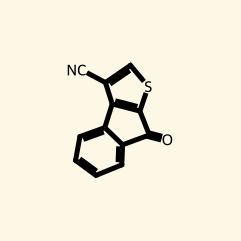 N#Cc1csc2c1-c1ccccc1C2=O